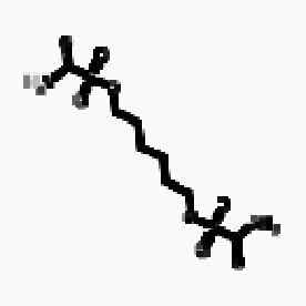 NC(=O)S(=O)(=O)OCCCCCCOS(=O)(=O)C(N)=O